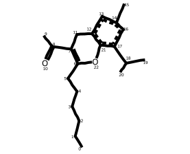 CCCCCCC1=C(C(C)=O)Cc2cc(C)cc(C(C)C)c2O1